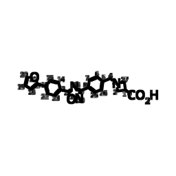 O=C(O)C1CN(Cc2ccc(-c3noc(-c4ccc(-c5ccco5)cc4)n3)cc2)C1